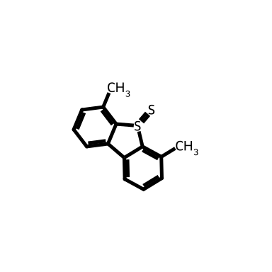 Cc1cccc2c1S(=S)c1c(C)cccc1-2